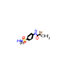 CC(C)NS(=O)(=O)c1ccc(NC(=O)C(C)Br)cc1